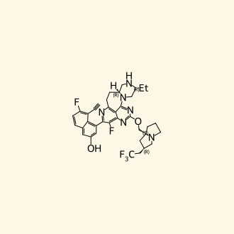 C#Cc1c(F)ccc2cc(O)cc(-c3nc4c5c(nc(OC[C@@]67CCCN6C[C@@H](CC(F)(F)F)C7)nc5c3F)N3C[C@@H](CC)NC[C@H]3CC4)c12